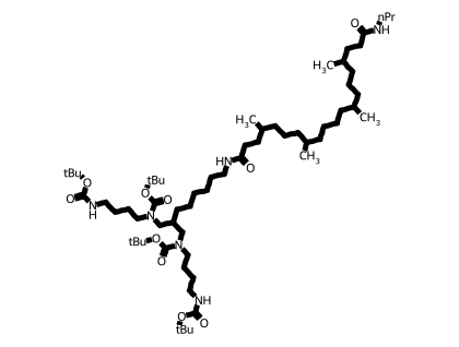 CCCNC(=O)CCC(C)CCCC(C)CCCCC(C)CCCC(C)CCC(=O)NCCCCCCC(CN(CCCCNC(=O)OC(C)(C)C)C(=O)OC(C)(C)C)CN(CCCCNC(=O)OC(C)(C)C)C(=O)OC(C)(C)C